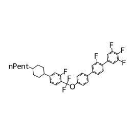 CCCCCC1CCC(c2ccc(C(F)(F)Oc3ccc(-c4ccc(-c5cc(F)c(F)c(F)c5)c(F)c4)cc3)c(F)c2)CC1